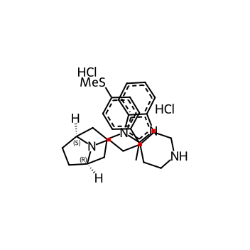 CSc1ccc(C2(CCN3[C@@H]4CC[C@H]3CC(n3c(C)nc5ccccc53)C4)CCNCC2)cc1.Cl.Cl